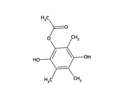 CC(=O)Oc1c(C)c(O)c(C)c(C)c1O